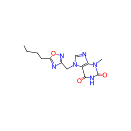 CCCCc1nc(Cn2cnc3c2c(=O)[nH]c(=O)n3C)no1